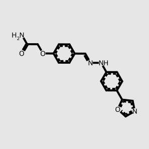 NC(=O)COc1ccc(C=NNc2ccc(-c3cnco3)cc2)cc1